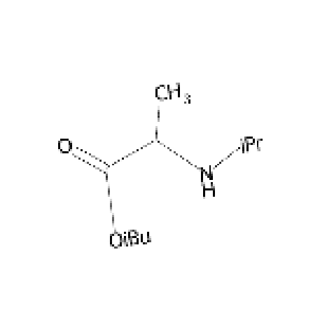 CC(C)COC(=O)C(C)NC(C)C